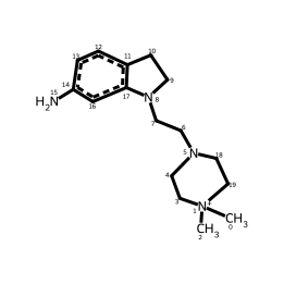 C[N+]1(C)CCN(CCN2CCc3ccc(N)cc32)CC1